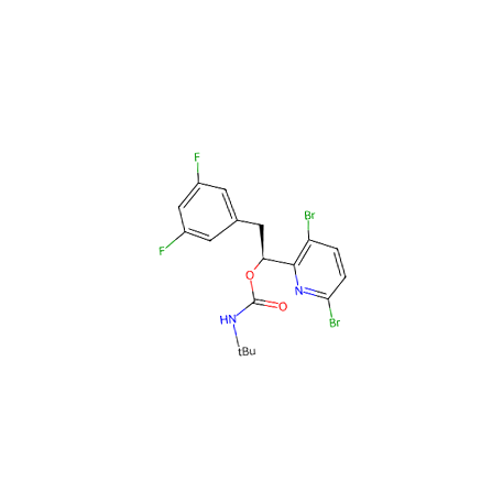 CC(C)(C)NC(=O)O[C@@H](Cc1cc(F)cc(F)c1)c1nc(Br)ccc1Br